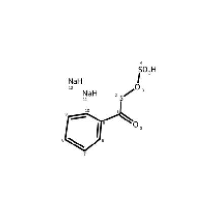 O=C(SOS(=O)(=O)O)c1ccccc1.[NaH].[NaH]